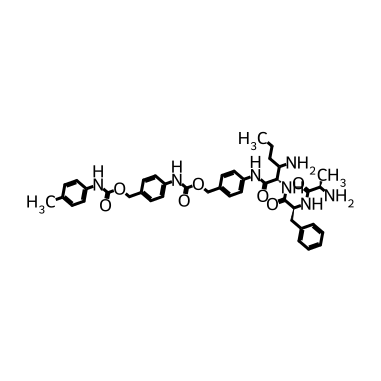 CCCC(N)[C@H](NC(=O)[C@H](Cc1ccccc1)NC(=O)[C@@H](C)N)C(=O)Nc1ccc(COC(=O)Nc2ccc(COC(=O)Nc3ccc(C)cc3)cc2)cc1